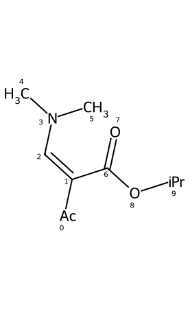 CC(=O)/C(=C/N(C)C)C(=O)OC(C)C